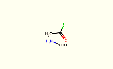 CC(=O)Cl.NC=O